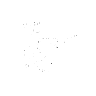 CCc1cccc(CC)c1N(COC)C(=O)CCl.N[C@@H](CCC(=O)N[C@@H](CS)C(=O)NCC(=O)O)C(=O)O